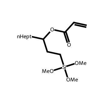 C=CC(=O)OC(CCCCCCC)CC[Si](OC)(OC)OC